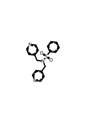 O=S(=O)(c1ccccc1)N(Cc1ccncc1)Cc1ccncc1